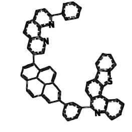 C1=CC2=CC=C(c3cnc4c(ccc5ccc(-c6ccccc6)nc54)c3)C3=CC=C4C=C(c5cccc(-c6nc7ccccc7c7c6ccc6c8ccccc8sc67)c5)C=C1C4C23